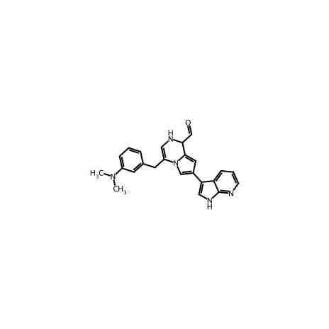 CN(C)c1cccc(CC2=CNC(C=O)c3cc(-c4c[nH]c5ncccc45)cn32)c1